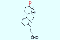 CC12CC[C@H]3C(C)(C)C(=O)CC[C@]3(C)C1=CCCC2CCCC=O